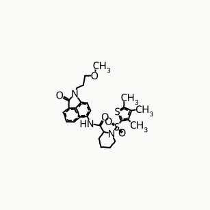 COCCCN1C(=O)c2cccc3c(NC(=O)C4CCCCN4S(=O)(=O)c4sc(C)c(C)c4C)ccc1c23